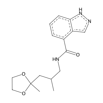 CC(CNC(=O)c1cccc2[nH]ncc12)CC1(C)OCCO1